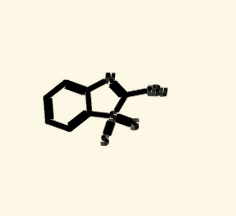 CC(C)(C)C1=Nc2ccccc2S1(=S)=S